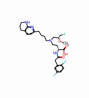 CO[C@H](CF)CN(CCCCc1ccc2c(n1)NCCC2)CC[C@H](NC(=O)Cc1cc(F)ccc1F)C(=O)O